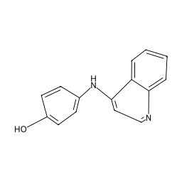 Oc1ccc(Nc2ccnc3ccccc23)cc1